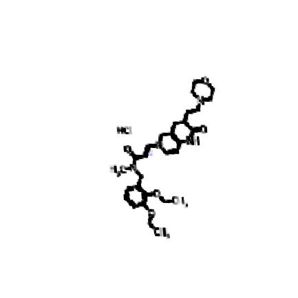 CCOc1cccc(CN(C)C(=O)/C=C/N2C=CC3=C(CC(CCN4CCOCC4)C(=O)N3)C2)c1OCC.Cl